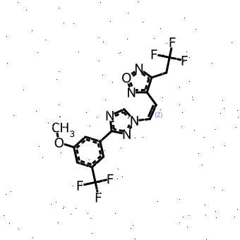 COc1cc(-c2ncn(/C=C\c3nonc3CC(F)(F)F)n2)cc(C(F)(F)F)c1